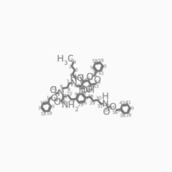 CCCCCCN(CCCN(C(=O)OCc1ccccc1)[C@@H](CCc1ccc(CCCCNC(=O)OCc2ccccc2)cc1)C(N)=O)C[C@H](O)[C@@H](O)[C@@H]1OC(c2ccccc2)OC[C@H]1O